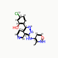 CC1=C(Nc2nnc(-c3ccc(Cl)cc3O)c3ccncc23)C=CON1